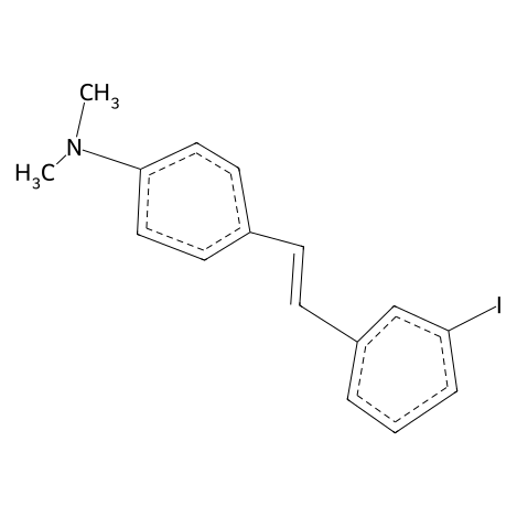 CN(C)c1ccc(C=Cc2cccc(I)c2)cc1